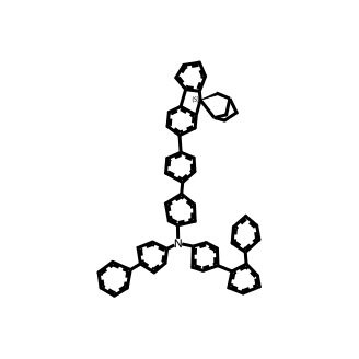 c1ccc(-c2ccc(N(c3ccc(-c4ccc(-c5ccc6c(c5)[C@]5(CC7CCC5C7)c5ccccc5-6)cc4)cc3)c3ccc(-c4ccccc4-c4ccccc4)cc3)cc2)cc1